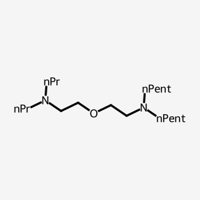 CCCCCN(CCCCC)CCOCCN(CCC)CCC